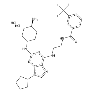 Cl.Cl.N[C@H]1CC[C@H](Nc2nc(NCCNC(=O)c3cccc(C(F)(F)F)c3)c3ncn(C4CCCC4)c3n2)CC1